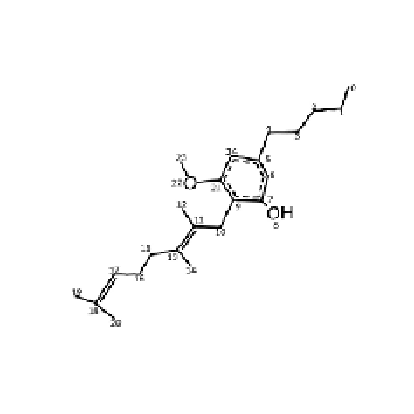 CCCCCc1cc(O)c(C/C(C)=C(\C)CCC=C(C)C)c(OC)c1